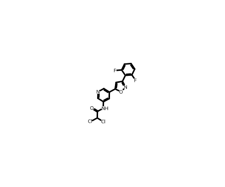 O=C(Nc1cncc(-c2cc(-c3c(F)cccc3F)no2)c1)C(Cl)Cl